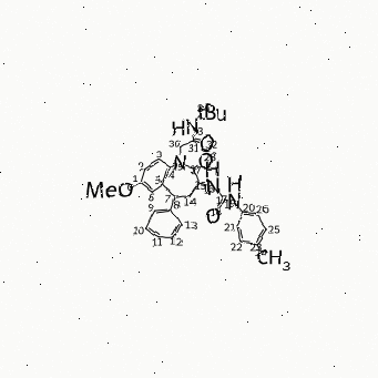 COc1ccc2c(c1)C(c1ccccc1)CC(NC(=O)Nc1ccc(C)cc1)C(=O)N2CC(=O)NC(C)(C)C